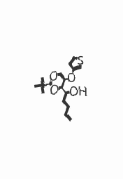 CCCCC(O)[C@H]1O[C@@H](C(C)(C)C)OC[C@H]1Oc1ccsc1